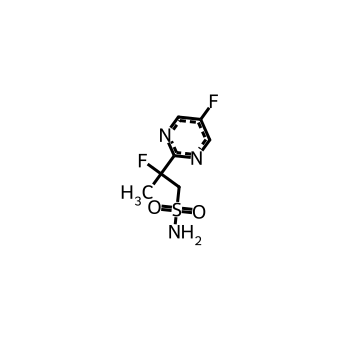 CC(F)(CS(N)(=O)=O)c1ncc(F)cn1